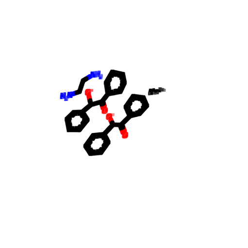 NCCN.O=C(c1ccccc1)C([O-])c1ccccc1.O=C(c1ccccc1)C([O-])c1ccccc1.[Mn+2]